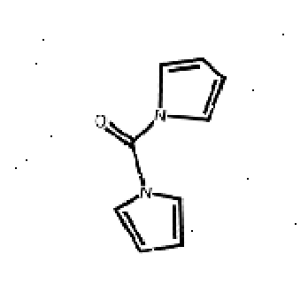 O=C(n1cccc1)n1cccc1